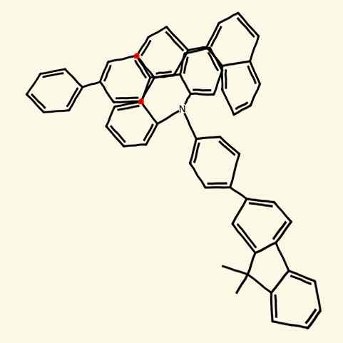 CC1(C)c2ccccc2-c2ccc(-c3ccc(N(c4ccccc4-c4ccc(-c5ccccc5)cc4)c4ccccc4-c4cccc(-c5cccc6ccccc56)c4)cc3)cc21